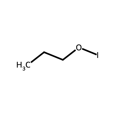 CCCOI